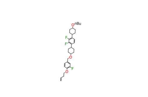 C=CCCOc1ccc(COC2CCC(c3ccc(C4CCC(OCCCC)CC4)c(F)c3F)CC2)cc1F